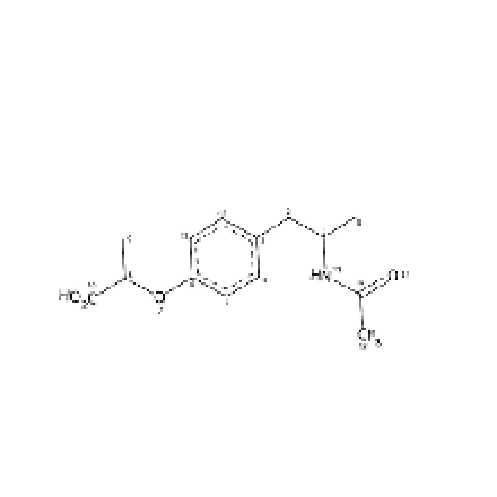 CC(Cc1ccc(OC(C)C(=O)O)cc1)NC(=O)C(F)(F)F